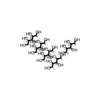 OCC(O)C(O)C(O)CO.OCC(O)C(O)C(O)CO.OCC(O)C(O)C(O)CO.OCC(O)C(O)C(O)CO.OCC(O)C(O)C(O)CO